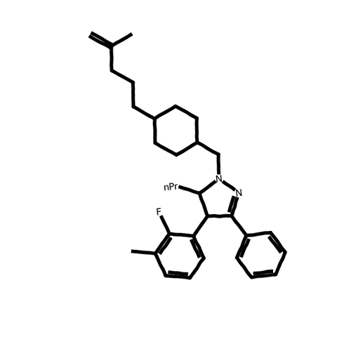 C=C(C)CCCC1CCC(CN2N=C(c3ccccc3)C(c3cccc(C)c3F)C2CCC)CC1